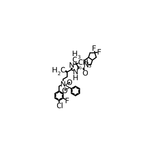 C=C(CCN(Cc1ccc(Cl)c(F)c1)S(=O)(=O)c1ccccc1)C1=NC(C)(C)[C@H](C(=O)N2CC3CC(F)(F)CC3C2)N1